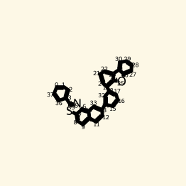 c1ccc(-c2nc3c(ccc4ccc(-c5cccc(-c6cccc7c6oc6ccccc67)c5)cc43)s2)cc1